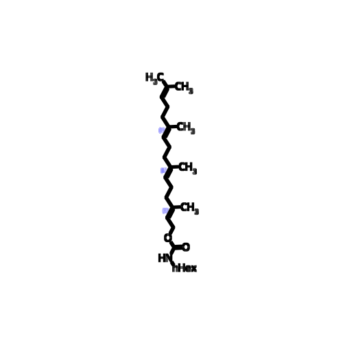 CCCCCCNC(=O)OC/C=C(\C)CC/C=C(\C)CC/C=C(\C)CCC=C(C)C